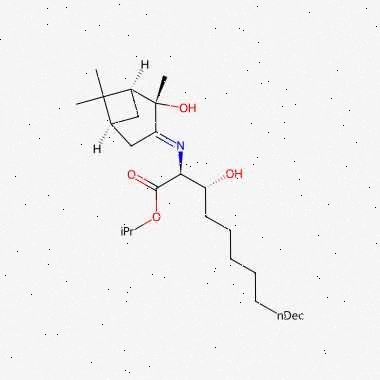 CCCCCCCCCCCCCCC[C@@H](O)[C@H](N=C1C[C@@H]2C[C@@H](C2(C)C)[C@]1(C)O)C(=O)OC(C)C